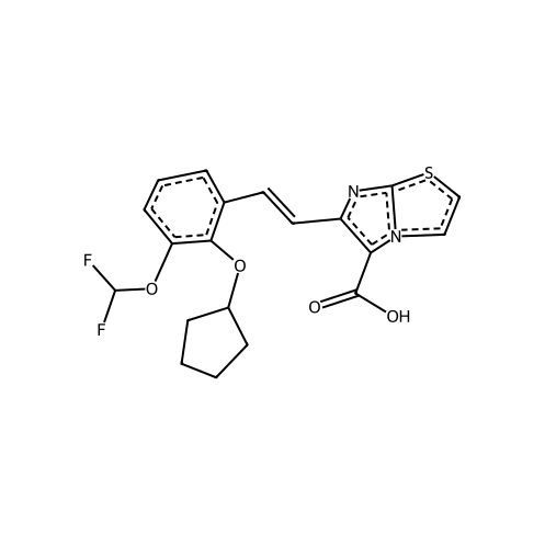 O=C(O)c1c(C=Cc2cccc(OC(F)F)c2OC2CCCC2)nc2sccn12